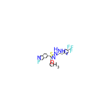 COCc1nc(NC[C@H](N)Cc2ccc(C(F)(F)F)cc2)sc1-c1ccc2cnc(F)cc2c1